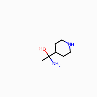 CC(N)(O)C1CCNCC1